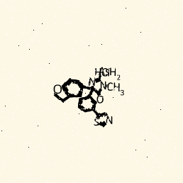 CN1C(=O)C(c2cccc(-c3cncs3)c2)(c2ccc3c(c2)CCO3)N=C1[AsH2].Cl